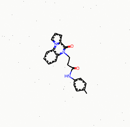 Cc1ccc(NC(=O)CCn2c(=O)c3cccn3c3ccccc32)cc1